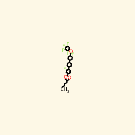 C=CCCCC1COC(c2ccc(C3CCC(C4CCC(C(F)(F)Oc5cc(F)c(F)c(F)c5)CC4)CC3)c(F)c2)OC1